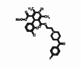 CCN1C(C)=C(C(=O)OCCN2CCC(C(=O)c3ccc(F)cc3)CC2)C(c2cccc(Cl)c2Cl)C(C(=O)OOC)=C1C